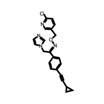 Clc1ccc(CO/N=C(\Cn2ccnc2)c2ccc(C#CC3CC3)cc2)cn1